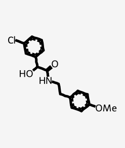 COc1ccc(CCNC(=O)C(O)c2cccc(Cl)c2)cc1